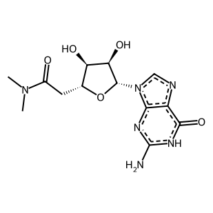 CN(C)C(=O)C[C@H]1O[C@@H](n2cnc3c(=O)[nH]c(N)nc32)[C@H](O)[C@@H]1O